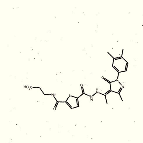 CC1=NN(c2ccc(C)c(C)c2)C(=O)/C1=C(/C)NNC(=O)c1ccc(C(=O)NCCC(=O)O)s1